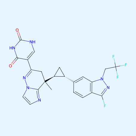 CC1([C@H]2C[C@@H]2c2ccc3c(F)nn(CC(F)(F)F)c3c2)CC(c2c[nH]c(=O)[nH]c2=O)=Nn2ccnc21